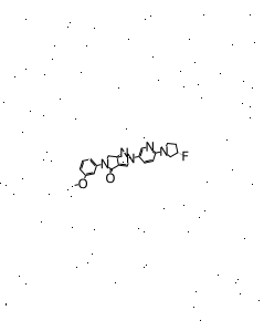 COc1cccc(N2Cc3nn(-c4ccc(N5CC[C@H](F)C5)nc4)cc3C2=O)c1